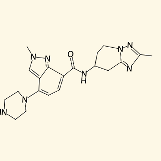 Cc1nc2n(n1)CCC(NC(=O)c1ccc(N3CCNCC3)c3cn(C)nc13)C2